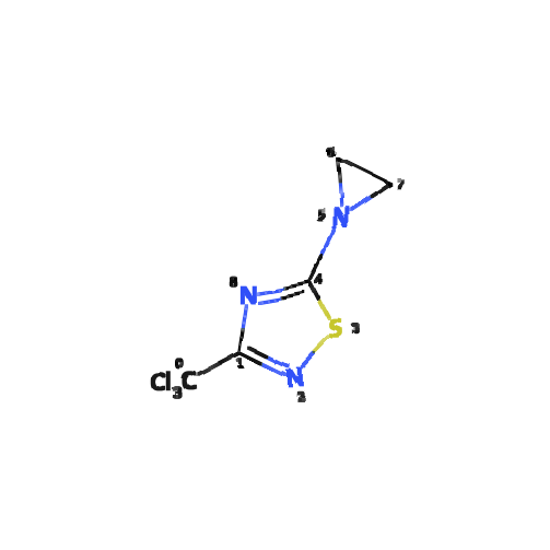 ClC(Cl)(Cl)c1nsc(N2CC2)n1